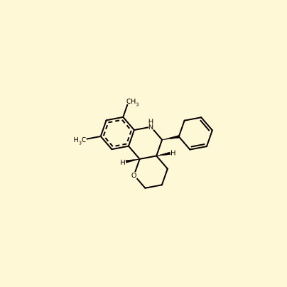 Cc1cc(C)c2c(c1)[C@H]1OCCC[C@H]1[C@H](C1C=CC=CC1)N2